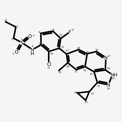 CCCS(=O)(=O)Nc1ccc(F)c(-c2cc3cnc4[nH]nc(C5CC5)c4c3cc2C)c1Cl